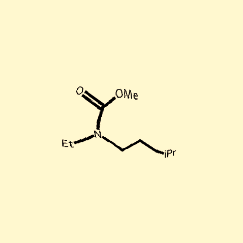 CCN(CCC(C)C)C(=O)OC